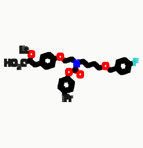 CCOC(Cc1ccc(OCCN(CCCCOCc2ccc(F)cc2)C(=O)Oc2ccc(C(C)C)cc2)cc1)C(=O)O